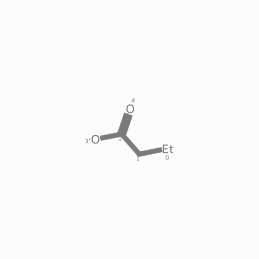 [CH2]CCC([O])=O